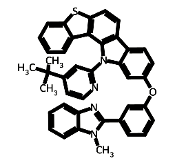 Cn1c(-c2cccc(Oc3ccc4c5ccc6sc7ccccc7c6c5n(-c5cc(C(C)(C)C)ccn5)c4c3)c2)nc2ccccc21